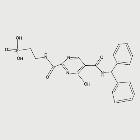 O=C(NCCP(=O)(O)O)c1ncc(C(=O)NC(c2ccccc2)c2ccccc2)c(O)n1